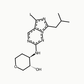 CC(C)Cc1nc(I)c2cnc(N[C@@H]3CCOC[C@H]3O)nn12